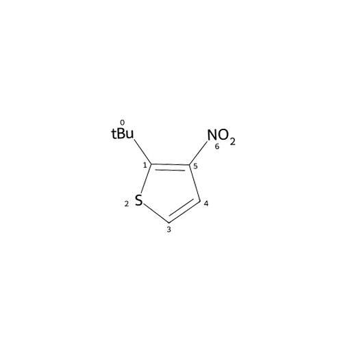 CC(C)(C)c1sccc1[N+](=O)[O-]